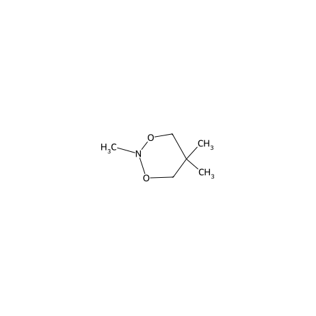 CN1OCC(C)(C)CO1